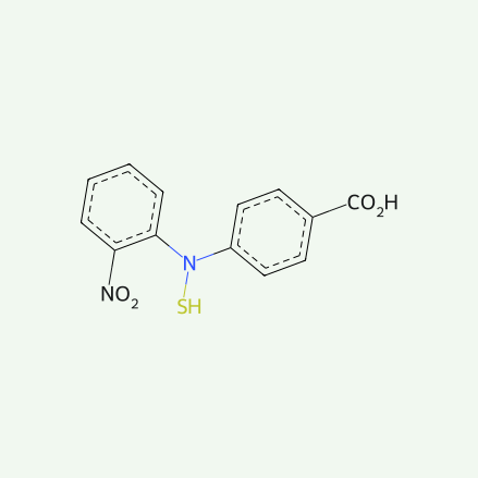 O=C(O)c1ccc(N(S)c2ccccc2[N+](=O)[O-])cc1